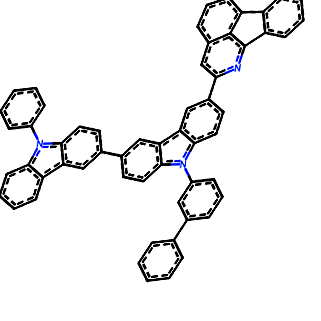 c1ccc(-c2cccc(-n3c4ccc(-c5ccc6c(c5)c5ccccc5n6-c5ccccc5)cc4c4cc(-c5cc6cccc7c6c(n5)-c5ccccc5-7)ccc43)c2)cc1